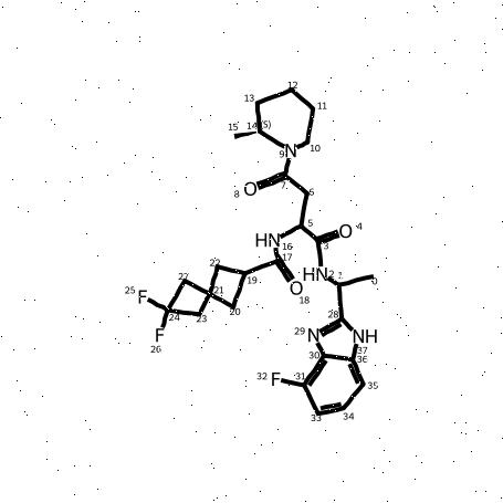 CC(NC(=O)C(CC(=O)N1CCCC[C@@H]1C)NC(=O)C1CC2(C1)CC(F)(F)C2)c1nc2c(F)cccc2[nH]1